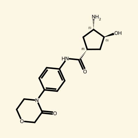 N[C@H]1C[C@@H](C(=O)Nc2ccc(N3CCOCC3=O)cc2)C[C@@H]1O